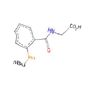 CCCCPc1ccccc1C(=O)NCC(=O)O